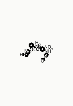 O=C(NS(=O)(=O)c1ccc(N[C@@H]2CCN(C3COC3)C2)c([N+](=O)[O-])c1)c1ccccc1Oc1cnc2[nH]ccc2c1